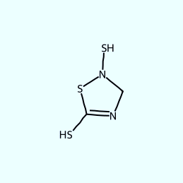 SC1=NCN(S)S1